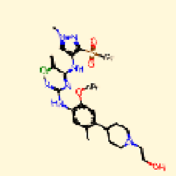 C=C(Cl)/C(=N\C(=N/C)Nc1cc(C)c(C2CCN(CCO)CC2)cc1OCCC)Nc1cn(C)nc1S(=O)(=O)C(C)C